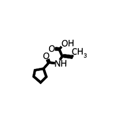 CC=C(NC(=O)C1CCCC1)C(=O)O